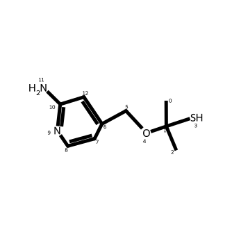 CC(C)(S)OCc1ccnc(N)c1